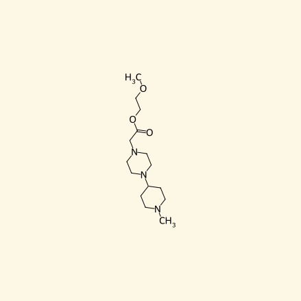 COCCOC(=O)CN1CCN(C2CCN(C)CC2)CC1